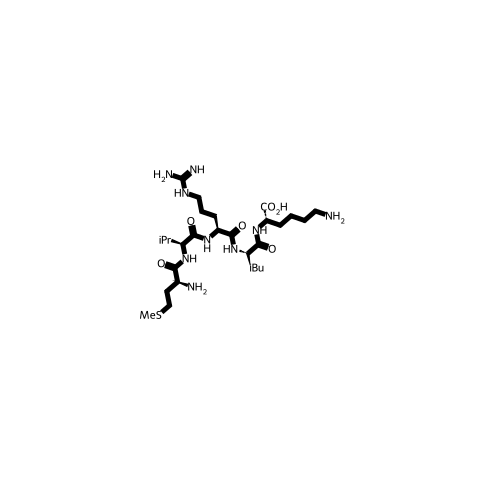 CC[C@H](C)[C@H](NC(=O)[C@H](CCCNC(=N)N)NC(=O)[C@@H](NC(=O)[C@@H](N)CCSC)C(C)C)C(=O)N[C@@H](CCCCN)C(=O)O